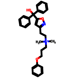 C[N+](C)(CCCOc1ccccc1)CCc1cc(C(O)(c2ccccc2)c2ccccc2)on1